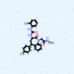 CCc1ccccc1NC(=O)NC1CC(c2ccc(Cl)cc2)c2ccccc2N(CC(=O)NC(C)(C)C)C1=O